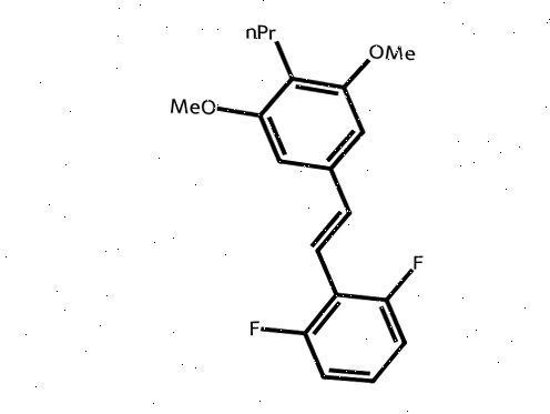 CCCc1c(OC)cc(C=Cc2c(F)cccc2F)cc1OC